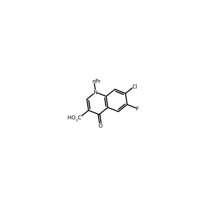 CCCn1cc(C(=O)O)c(=O)c2cc(F)c(Cl)cc21